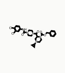 O=C(Nc1ccc(Cl)c(Cl)c1)N1CCN(C(=O)C2CN(C3CC3)CCN2C(=O)OCc2ccccc2)CC1